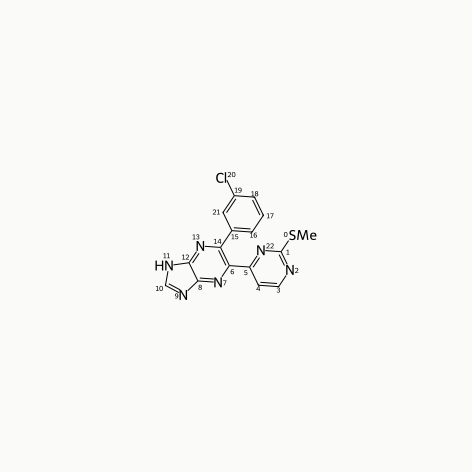 CSc1nccc(-c2nc3nc[nH]c3nc2-c2cccc(Cl)c2)n1